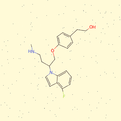 CNCCC(COc1ccc(CCO)cc1)n1ccc2c(F)cccc21